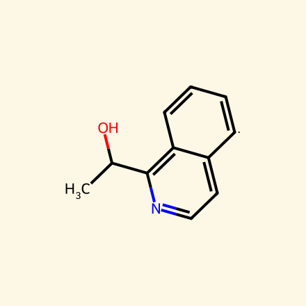 CC(O)c1nccc2[c]cccc12